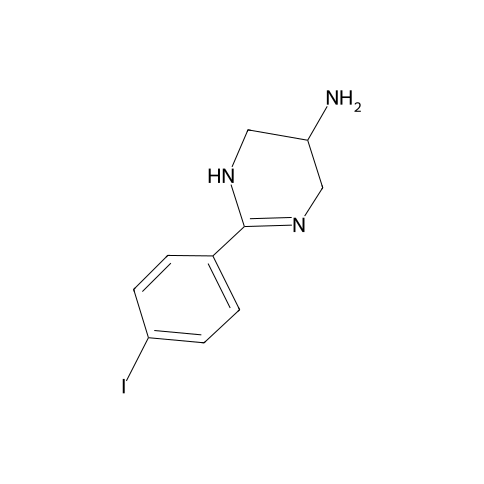 NC1CN=C(c2ccc(I)cc2)NC1